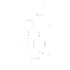 COC(=O)c1coc2c(O)c3c(c(C)c12)C=C[C@]1(C)C(=O)CC[C@@H]31